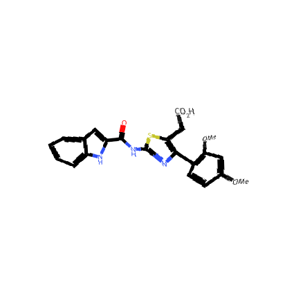 COc1ccc(-c2nc(NC(=O)c3cc4ccccc4[nH]3)sc2CC(=O)O)c(OC)c1